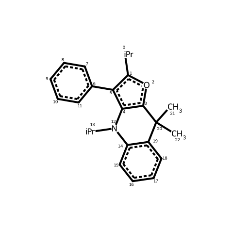 CC(C)c1oc2c(c1-c1ccccc1)N(C(C)C)c1ccccc1C2(C)C